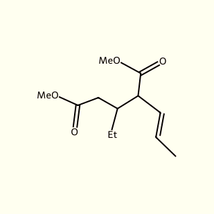 CC=CC(C(=O)OC)C(CC)CC(=O)OC